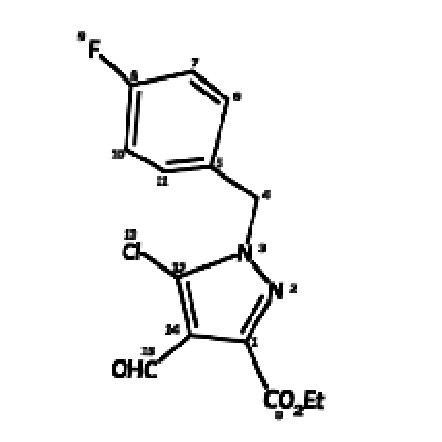 CCOC(=O)c1nn(Cc2ccc(F)cc2)c(Cl)c1C=O